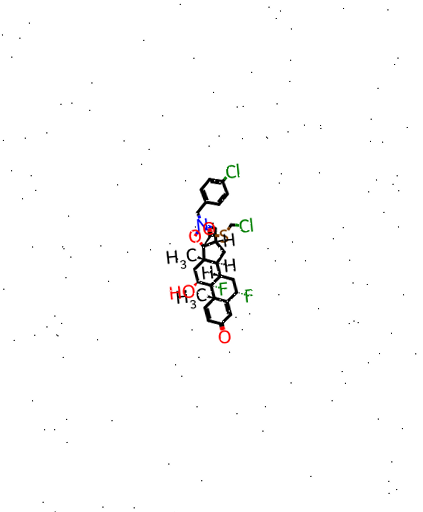 C[C@]12C=CC(=O)C=C1[C@@H](F)C[C@H]1[C@@H]3C[C@H]4CN(Cc5ccc(Cl)cc5)O[C@@]4(C(=O)SCCl)[C@@]3(C)C[C@H](O)[C@@]12F